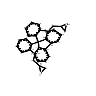 c1ccc(C2(c3ccccc3OCC3CO3)c3ccccc3-c3ccccc32)c(OCC2CO2)c1